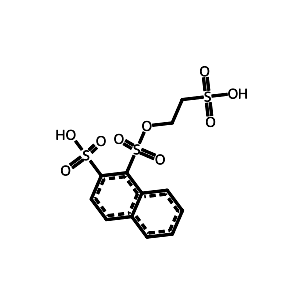 O=S(=O)(O)CCOS(=O)(=O)c1c(S(=O)(=O)O)ccc2ccccc12